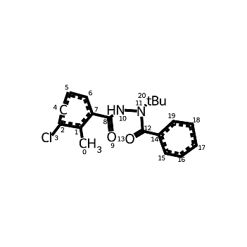 Cc1c(Cl)cccc1C(=O)NN(C(=O)c1ccccc1)C(C)(C)C